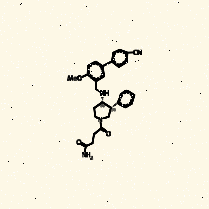 COc1ccc(-c2ccc(C#N)cc2)cc1CN[C@H]1CCN(C(=O)CCC(N)=O)C[C@H]1c1ccccc1